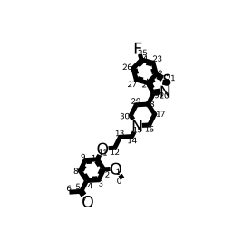 COc1cc(C(C)=O)ccc1OCCCN1CCC(c2nsc3cc(F)ccc23)CC1